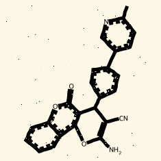 Cc1ccc(-c2ccc(C3C(C#N)=C(N)Oc4c3c(=O)oc3ccccc43)cc2)cn1